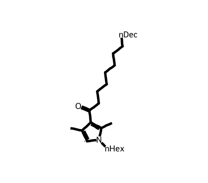 CCCCCCCCCCCCCCCCCC(=O)c1c(C)[c]n(CCCCCC)c1C